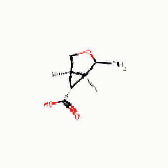 CC1OC[C@@H]2[C@@H](C(=O)O)[C@H]12